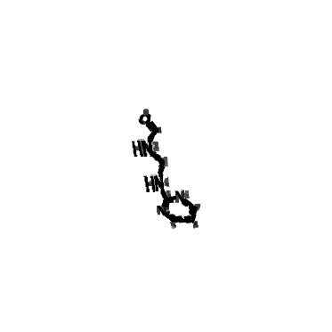 O=CNCNc1ncccn1